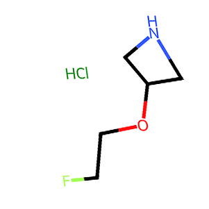 Cl.FCCOC1CNC1